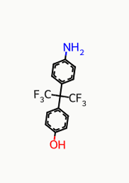 Nc1ccc(C(c2ccc(O)cc2)(C(F)(F)F)C(F)(F)F)cc1